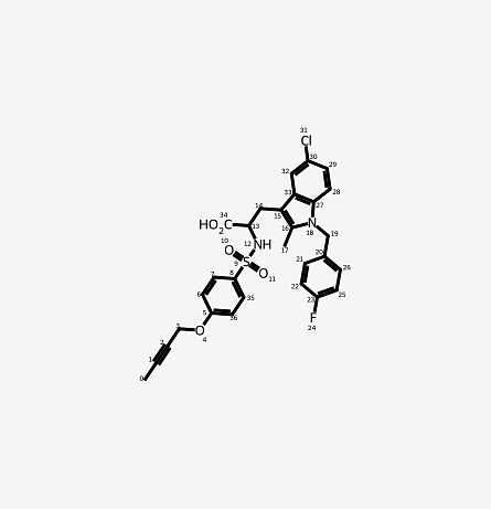 CC#CCOc1ccc(S(=O)(=O)NC(Cc2c(C)n(Cc3ccc(F)cc3)c3ccc(Cl)cc23)C(=O)O)cc1